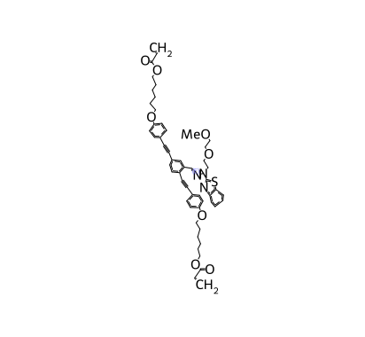 C=CC(=O)OCCCCCCOc1ccc(C#Cc2ccc(C#Cc3ccc(OCCCCCCOC(=O)C=C)cc3)c(/C=N/N(CCOCCOC)c3nc4ccccc4s3)c2)cc1